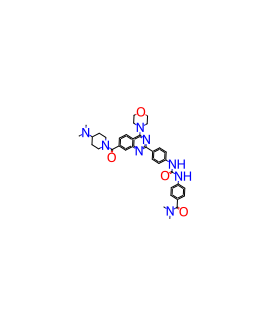 CN(C)C(=O)c1ccc(NC(=O)Nc2ccc(-c3nc(N4CCOCC4)c4ccc(C(=O)N5CCC(N(C)C)CC5)cc4n3)cc2)cc1